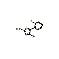 Cc1nc(C)c(-c2ccccc2F)s1